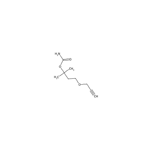 C#CCOCCC(C)(C)OC(N)=O